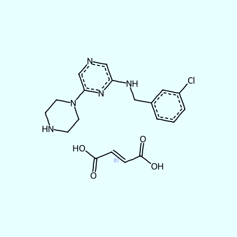 Clc1cccc(CNc2cncc(N3CCNCC3)n2)c1.O=C(O)/C=C/C(=O)O